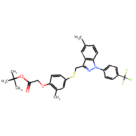 Cc1ccc2c(c1)c(CSc1ccc(OCC(=O)OC(C)(C)C)c(C)c1)nn2-c1ccc(C(F)(F)F)cc1